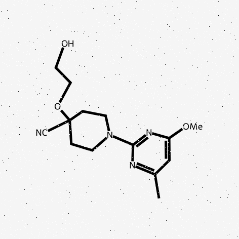 COc1cc(C)nc(N2CCC(C#N)(OCCO)CC2)n1